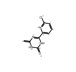 C=C1N=C(c2cccc(Cl)n2)NC(=O)N1